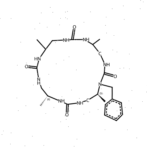 CC1CNC(=O)NC(C)CNC(=O)N(Cc2ccccc2)[C@@H](C)CNC(=O)N[C@H](C)CNC(=O)N1